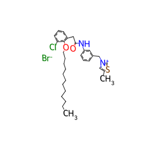 CCCCCCCCCCCCOc1c(Cl)cccc1CC(=O)Nc1cccc(C[n+]2csc(C)c2)c1.[Br-]